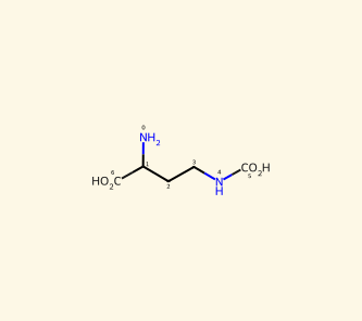 NC(CCNC(=O)O)C(=O)O